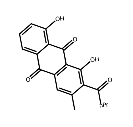 CCCC(=O)c1c(C)cc2c(c1O)C(=O)c1c(O)cccc1C2=O